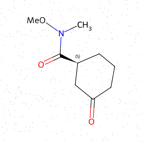 CON(C)C(=O)[C@H]1CCCC(=O)C1